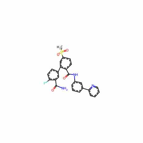 CS(=O)(=O)c1ccc(C(=O)Nc2cccc(-c3ccccn3)c2)c(-c2ccc(F)c(C(N)=O)c2)c1